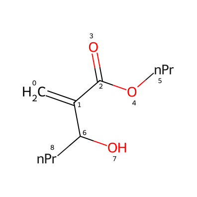 C=C(C(=O)OCCC)C(O)CCC